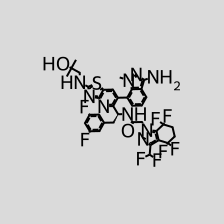 Cn1nc(N)c2cccc(-c3cc4sc(NCC(C)(C)O)nc4nc3[C@H](Cc3cc(F)cc(F)c3)NC(=O)Cn3nc(C(F)F)c4c3C(F)(F)CCC4(F)F)c21